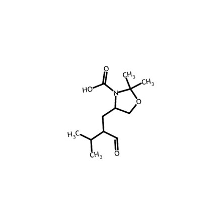 CC(C)C(C=O)CC1COC(C)(C)N1C(=O)O